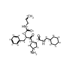 C=CCNC(=O)O[C@H](Cc1ccccc1)C(=O)N1C[C@H](N)C[C@H]1C(=O)NCC1CCCCC1